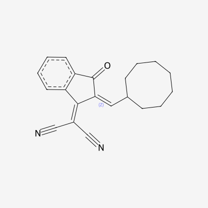 N#CC(C#N)=C1/C(=C/C2CCCCCCC2)C(=O)c2ccccc21